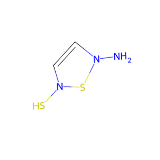 NN1C=CN(S)S1